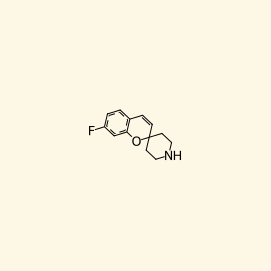 Fc1ccc2c(c1)OC1(C=C2)CCNCC1